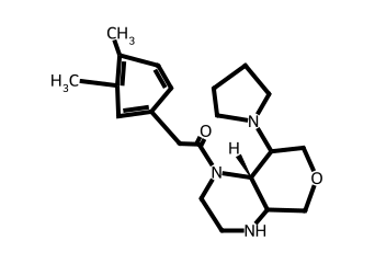 Cc1ccc(CC(=O)N2CCNC3COCC(N4CCCC4)[C@H]32)cc1C